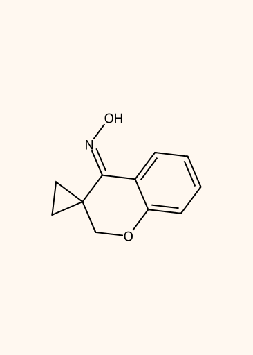 ON=C1c2ccccc2OCC12CC2